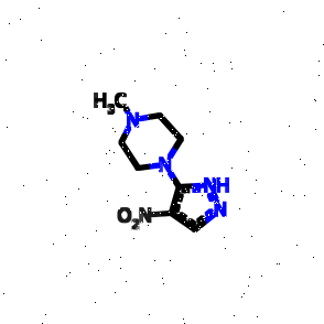 CN1CCN(c2[nH]ncc2[N+](=O)[O-])CC1